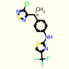 C[C@H](c1ccc(Nc2nc(C(F)(F)F)cs2)cc1)c1nsnc1Cl